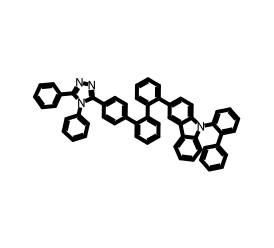 c1ccc(-c2ccccc2-n2c3ccccc3c3cc(-c4ccccc4-c4ccccc4-c4ccc(-c5nnc(-c6ccccc6)n5-c5ccccc5)cc4)ccc32)cc1